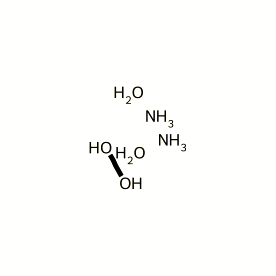 N.N.O.O.OO